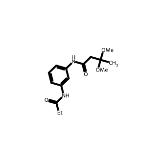 CCC(=O)Nc1cccc(NC(=O)CC(C)(OC)OC)c1